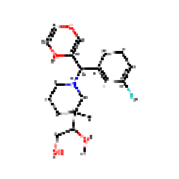 COC(CO)C1(C)CCCN(C(C2=CC(F)=CCC2)C2=COC=CO2)C1